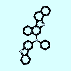 c1ccc(N(c2ccc3oc4ccccc4c3c2)c2cc3oc4c5ccccc5ccc4c3c3ccccc23)cc1